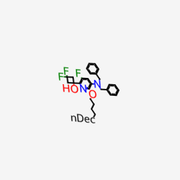 CCCCCCCCCCCCCCOc1nc(C2(O)CC(F)(F)C2)c(F)cc1N(Cc1ccccc1)Cc1ccccc1